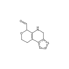 O=CC1OCCC2=C1NCc1sccc12